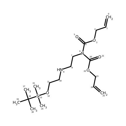 C=CCOC(=O)N(CCNCCO[Si](C)(C)C(C)(C)C)C(=O)OCC=C